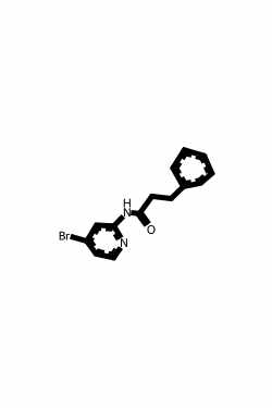 O=C(CCc1ccccc1)Nc1cc(Br)ccn1